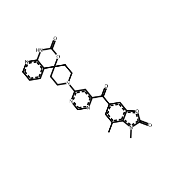 Cc1cc(C(=O)c2cc(N3CCC4(CC3)OC(=O)Nc3ncccc34)ncn2)cc2oc(=O)n(C)c12